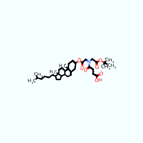 CC(C)CCCCC1CCC2C3CC=C4CC(OC(=O)CN(CC(=O)OC(C)(C)C)C(=O)CCC(=O)O)CCC4(C)C3CCC12C